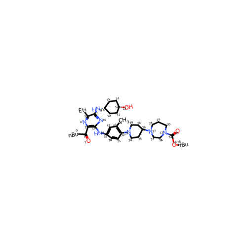 CCCCC(=O)c1nc(CC)c(N[C@H]2CC[C@H](O)CC2)nc1Nc1ccc(N2CCC(N3CCCN(C(=O)OC(C)(C)C)CC3)CC2)c(C)c1